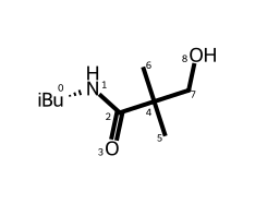 CC[C@@H](C)NC(=O)C(C)(C)CO